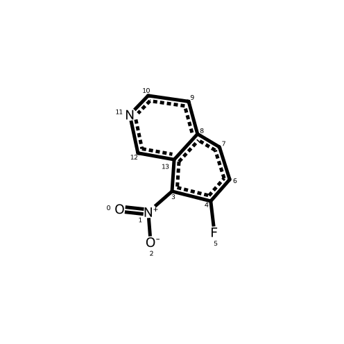 O=[N+]([O-])c1c(F)ccc2ccncc12